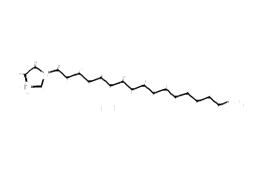 CCCCCCCCCCCCCCCCCN1CCNC1.Cl